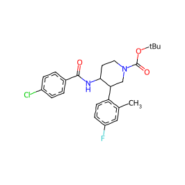 Cc1cc(F)ccc1C1CN(C(=O)OC(C)(C)C)CCC1NC(=O)c1ccc(Cl)cc1